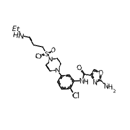 CCNCCCS(=O)(=O)N1CCN(c2ccc(Cl)c(NC(=O)c3coc(N)n3)c2)CC1